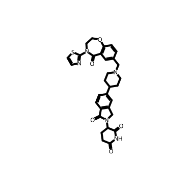 O=C1CCC(N2Cc3cc(C4CCN(Cc5ccc6c(c5)C(=O)N(c5nccs5)CCO6)CC4)ccc3C2=O)C(=O)N1